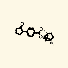 CC1(C)[C@H]2CC[C@]1(C)[C@H](OC(=O)c1ccc(C3CCCC3=O)cc1)C2